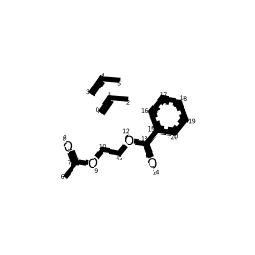 C=CC.C=CC.CC(=O)OCCOC(=O)c1ccccc1